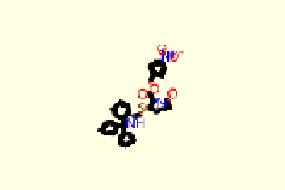 O=C(OCc1ccc([N+](=O)[O-])cc1)C1C(SCCNC(c2ccccc2)(c2ccccc2)c2ccccc2)CC2CC(=O)N21